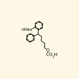 CCCCCCc1ccccc1C(CCCCOC(=O)O)c1ccccc1